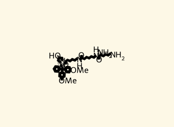 COc1ccc(C(OC[C@@H]2C[C@@H](O)CN2C(=O)CCCCCNC(=O)CCCCCNC(=O)[C@@H](N)CCCCN)(c2ccccc2)c2ccc(OC)cc2)cc1